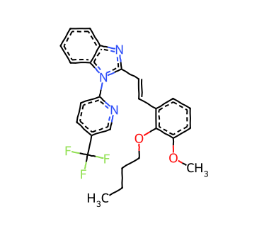 CCCCOc1c(C=Cc2nc3ccccc3n2-c2ccc(C(F)(F)F)cn2)cccc1OC